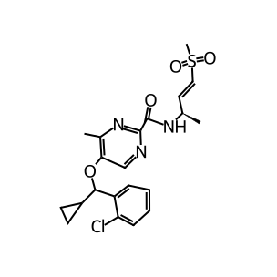 Cc1nc(C(=O)N[C@H](C)/C=C/S(C)(=O)=O)ncc1OC(c1ccccc1Cl)C1CC1